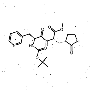 COC(=O)[C@H](C[C@@H]1CCNC1=O)NC(=O)[C@H](Cc1cccnc1)NC(=O)OC(C)(C)C